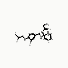 CCC(=O)NC1(NCc2ccc(OCC(F)F)c(F)c2)C=NC=CN1